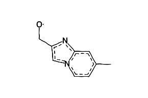 Cc1ccn2cc(C[O])nc2c1